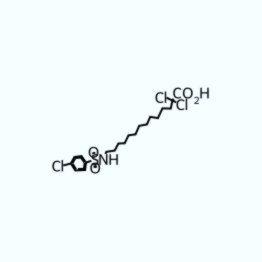 O=C(O)C(Cl)(Cl)CCCCCCCCCCCCNS(=O)(=O)c1ccc(Cl)cc1